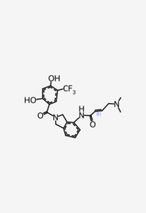 CN(C)C/C=C/C(=O)Nc1cccc2c1CN(C(=O)c1cc(C(F)(F)F)c(O)cc1O)C2